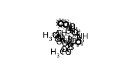 COC(=O)c1sc(-c2cccc(NC3CCN(S(=O)(=O)c4ccc5ccccc5c4)CC3)c2)c(Br)c1OCC(=O)OC(C)(C)C